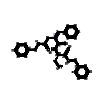 CC(C)C[C@H](NC(=O)/C(=C\c1ccccc1)CC(=O)OCc1ccccc1)C(=O)OCc1ccccc1